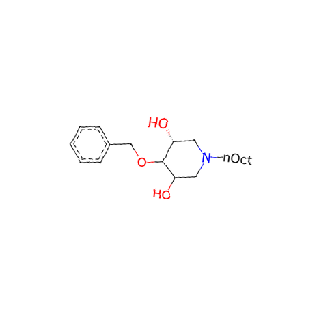 CCCCCCCCN1CC(O)C(OCc2ccccc2)[C@H](O)C1